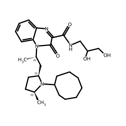 C[C@H]1CC[C@@H](C[C@H](C)n2c(=O)c(C(=O)NCC(O)CO)nc3ccccc32)N1C1CCCCCCC1